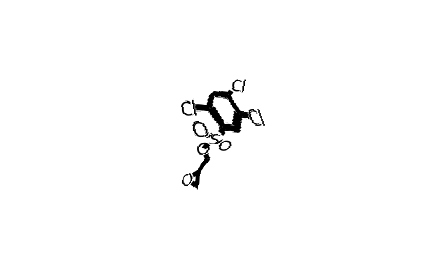 O=S(=O)(OCC1CO1)c1cc(Cl)c(Cl)cc1Cl